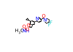 CNC(=O)Oc1cc2cc(-c3ccc(C(=O)N4CCC(F)(F)CC4)cn3)cc(C3CC3)c2o1